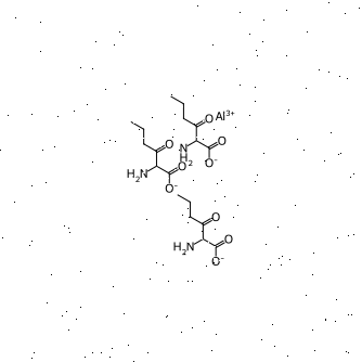 CCCC(=O)C(N)C(=O)[O-].CCCC(=O)C(N)C(=O)[O-].CCCC(=O)C(N)C(=O)[O-].[Al+3]